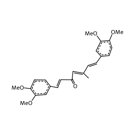 COc1ccc(/C=C/C(=O)/C=C(C)/C=C/c2ccc(OC)c(OC)c2)cc1OC